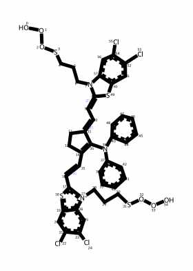 OOOSCCCN1/C(=C/C=C2\CCC(/C=C/c3sc4cc(Cl)c(Cl)cc4[n+]3CCCSOOO)=C2N(c2ccccc2)c2ccccc2)Sc2cc(Cl)c(Cl)cc21